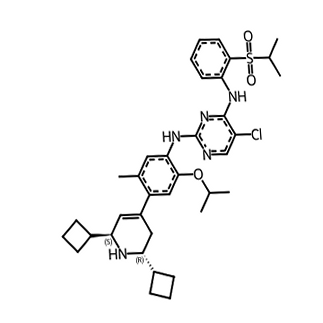 Cc1cc(Nc2ncc(Cl)c(Nc3ccccc3S(=O)(=O)C(C)C)n2)c(OC(C)C)cc1C1=C[C@H](C2CCC2)N[C@@H](C2CCC2)C1